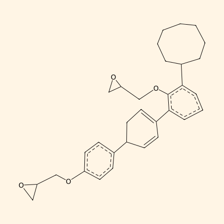 C1=CC(c2ccc(OCC3CO3)cc2)CC=C1c1cccc(C2CCCCCCC2)c1OCC1CO1